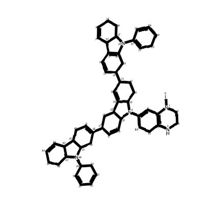 IN1CCNC2=C1C=C(N1C3CCC(C4C=CC5=C(C4)N(C4=CCCC=C4)C4CCC=CC54)C=C3C3CC(C4=CCC5C6C=CCCC6N(C6C=CC=CC6)C5C4)C=CC31)CC2